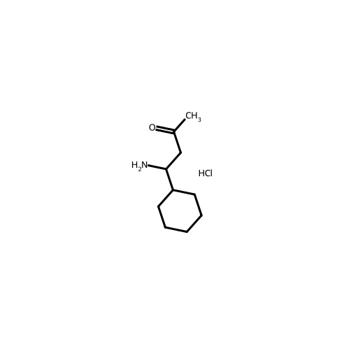 CC(=O)CC(N)C1CCCCC1.Cl